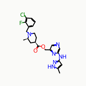 Cc1cc(Nc2cncc(COC(=O)[C@@H]3CCN(Cc4cccc(Cl)c4F)[C@H](C)C3)n2)n[nH]1